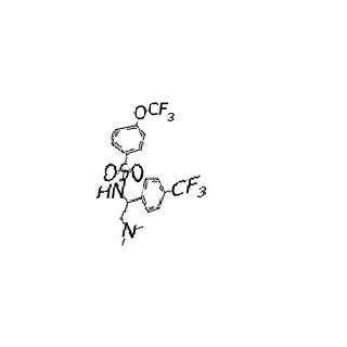 CN(C)CC(NS(=O)(=O)c1ccc(OC(F)(F)F)cc1)c1ccc(C(F)(F)F)cc1